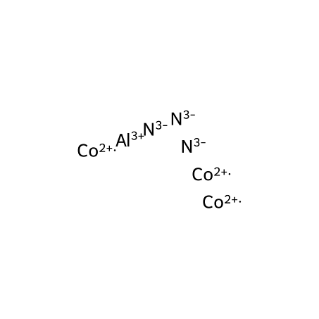 [Al+3].[Co+2].[Co+2].[Co+2].[N-3].[N-3].[N-3]